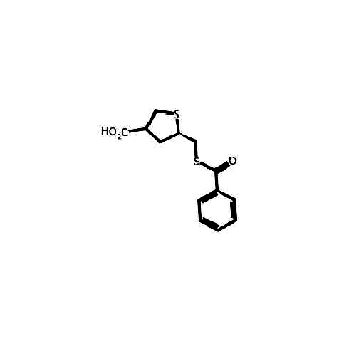 O=C(SC[C@H]1CC(C(=O)O)CS1)c1ccccc1